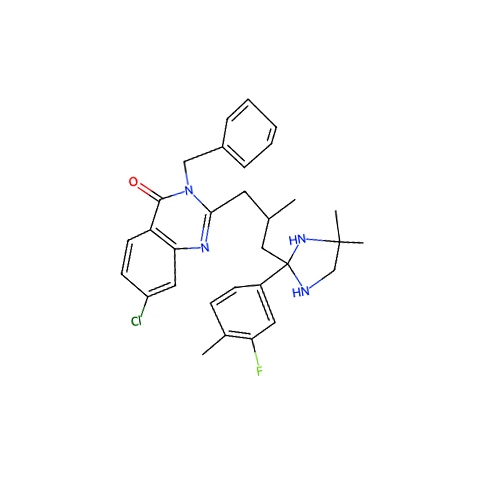 Cc1ccc(C2(CC(C)Cc3nc4cc(Cl)ccc4c(=O)n3Cc3ccccc3)NCC(C)(C)N2)cc1F